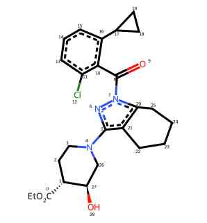 CCOC(=O)[C@@H]1CCN(c2nn(C(=O)c3c(Cl)cccc3C3CC3)c3c2CCCC3)C[C@H]1O